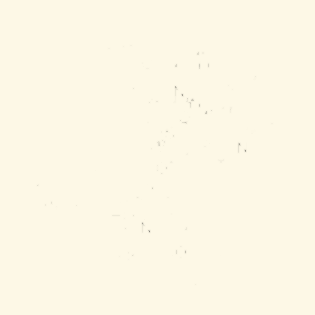 CC(C)OCC(CS(=O)(=O)Cc1ccc2sccc2c1)N(O)C=O.CC(C)OCC(CS(=O)(=O)Cc1cnc2ccccc2c1)N(O)C=O